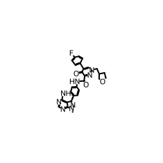 Cn1nc(-c2ccc(NC(=O)c3nn(CC4CCOC4)cc(-c4ccc(F)cc4)c3=O)cc2)c2c(N)ncnc21